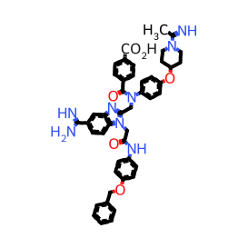 CC(=N)N1CCC(Oc2ccc(N(Cc3nc4cc(C(=N)N)ccc4n3CC(=O)Nc3ccc(OCc4ccccc4)cc3)C(=O)c3ccc(C(=O)O)cc3)cc2)CC1